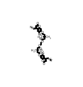 CC(C)(CC(=O)OCCOC(=O)CC(C)(C)CC(=O)Oc1cc2oc(=O)cc(C=[N+]=[N-])c2cc1Br)CC(=O)Oc1cc2oc(=O)cc(C=[N+]=[N-])c2cc1Br